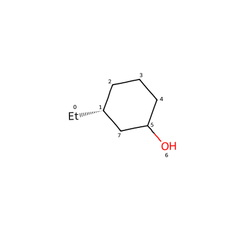 CC[C@@H]1CCCC(O)C1